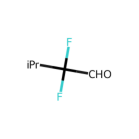 CC(C)C(F)(F)C=O